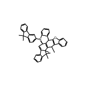 CC1C2=C3C(C)(c4ccccc4N(c4ccc5c(c4)-c4ccccc4C5(C)C)C3(C)C=C3c4ccccc4C(C)(C)C32C)c2oc3ccccc3c21